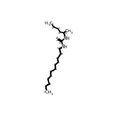 CCCCCCCCCCCCNC(=S)NC(C)CCCC